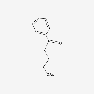 CC(=O)OCCCC(=O)c1ccccc1